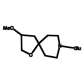 COC1COC2(CCN(C(C)(C)C)CC2)C1